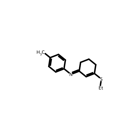 CCSC1=CC(=Nc2ccc(C)cc2)CCC1